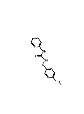 Cc1ccc(SNC(=O)Nc2ccccc2)cc1